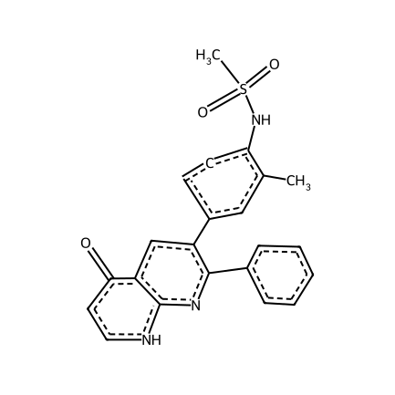 Cc1cc(-c2cc3c(=O)cc[nH]c3nc2-c2ccccc2)ccc1NS(C)(=O)=O